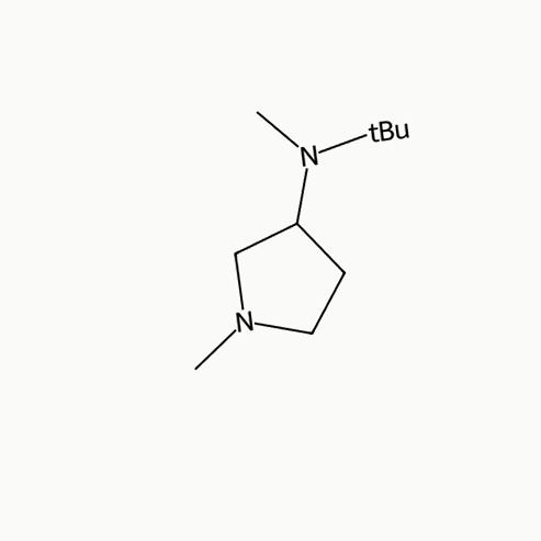 CN1CCC(N(C)C(C)(C)C)C1